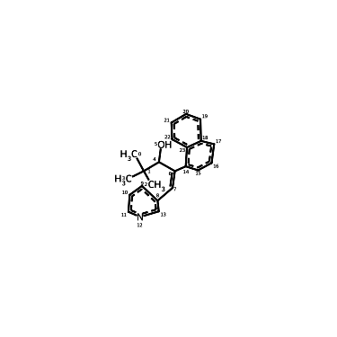 CC(C)(C)C(O)/C(=C\c1cccnc1)c1cccc2ccccc12